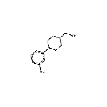 CC(C)CN1CCN(c2cccc(O)c2)CC1